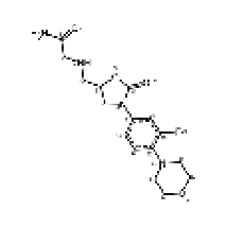 NC(=O)CNCC1CN(c2ccc(N3CCOCC3)c(F)c2)C(=O)O1